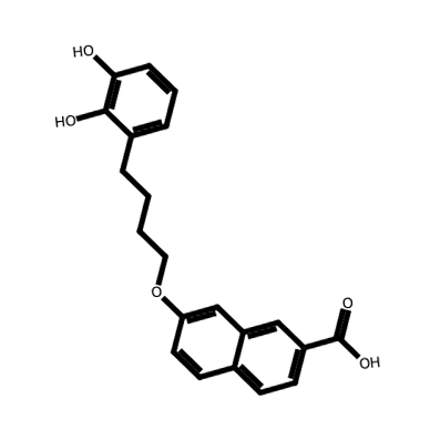 O=C(O)c1ccc2ccc(OCCCCc3cccc(O)c3O)cc2c1